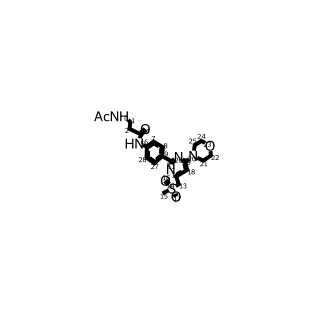 CC(=O)NCCC(=O)Nc1ccc(-c2nc(CS(C)(=O)=O)cc(N3CCOCC3)n2)cc1